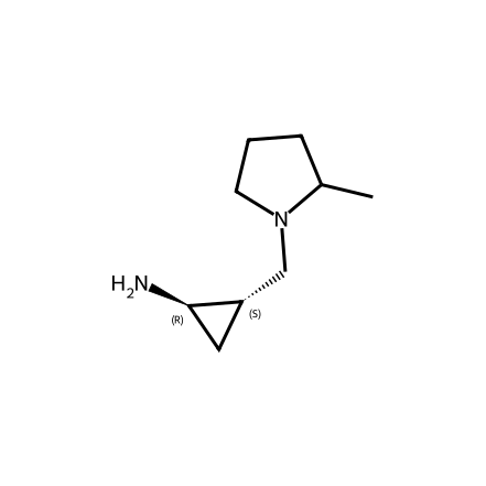 CC1CCCN1C[C@@H]1C[C@H]1N